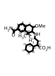 COC1Cc2ccc(C(N)=O)cc2C(C)(C)C1NCCC(C(=O)O)C1CCCCC1